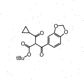 CC(C)(C)OC(=O)C(C(=O)c1ccc2c(c1)OCO2)C(=O)C1CC1